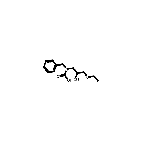 CCOCC(O)CN(Cc1ccccc1)C(=O)O